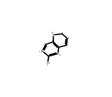 Clc1ncc2c(n1)C=CCS2